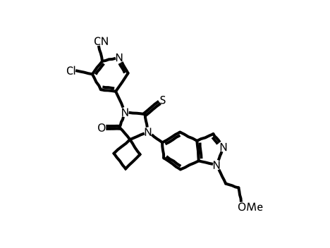 COCCn1ncc2cc(N3C(=S)N(c4cnc(C#N)c(Cl)c4)C(=O)C34CCC4)ccc21